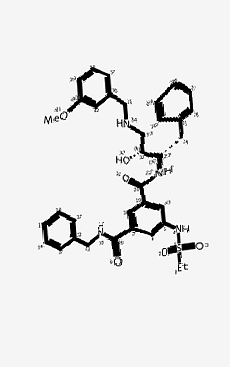 CCS(=O)(=O)Nc1cc(C(=O)NCc2ccccc2)cc(C(=O)N[C@@H](Cc2ccccc2)[C@H](O)CNCc2cccc(OC)c2)c1